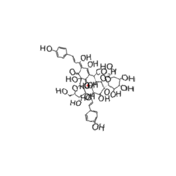 O=C(O)C(C1=C(O)/C(=C(O)/C=C/c2ccc(O)cc2)C(=O)C(O)([C@@H]2O[C@H](CO)[C@@H](O)[C@H](O)[C@H]2O)C1=O)C1=C(O)/C(=C(O)/C=C/c2ccc(O)cc2)C(=O)C(O)([C@@H]2O[C@H](CO)[C@@H](O)[C@H](O)[C@H]2O)C1=O